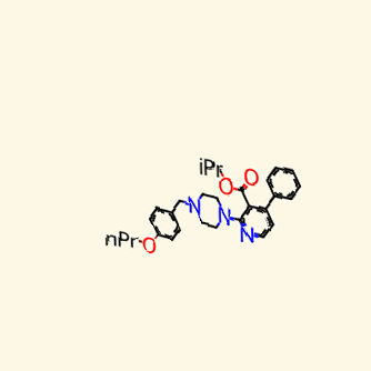 CCCOc1ccc(CN2CCN(c3nccc(-c4ccccc4)c3C(=O)OC(C)C)CC2)cc1